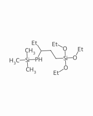 CCO[Si](CCC(CC)P[Si](C)(C)C)(OCC)OCC